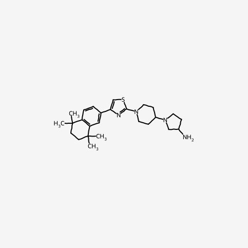 CC1(C)CCC(C)(C)c2cc(-c3csc(N4CCC(N5CCC(N)C5)CC4)n3)ccc21